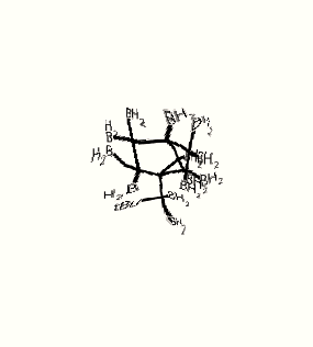 BC1(B)C(B)(B)C2(C(B)(B)C(C)(C)C)C(B)(B)C(B)(B)C1(B)C2(B)B